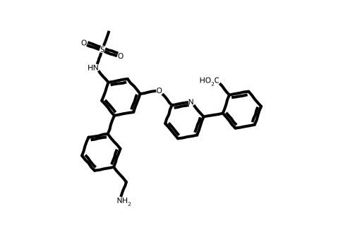 CS(=O)(=O)Nc1cc(Oc2cccc(-c3ccccc3C(=O)O)n2)cc(-c2cccc(CN)c2)c1